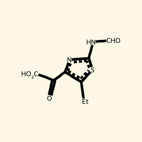 CCc1sc(NC=O)nc1C(=O)C(=O)O